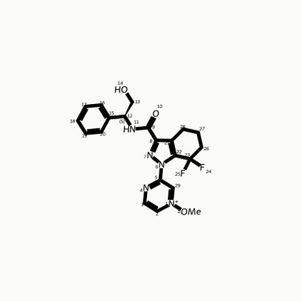 CO[n+]1ccnc(-n2nc(C(=O)N[C@H](CO)c3ccccc3)c3c2C(F)(F)CCC3)c1